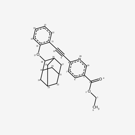 CCOC(=O)c1ccc(C#Cc2ccccc2OC2C3CC4CC(C3)CC2C4)nc1